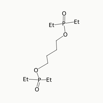 CCP(=O)(CC)OCCCCOP(=O)(CC)CC